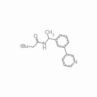 CC(NC(=O)CC(C)(C)C)c1cccc(-c2cccnc2)c1